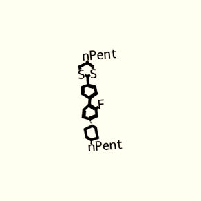 CCCCCC1CSC(c2ccc(-c3ccc([C@H]4CC[C@H](CCCCC)CC4)cc3F)cc2)SC1